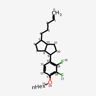 C=CCCCC1CCC2C(c3ccc(OCCCCCC)c(F)c3F)CCC12